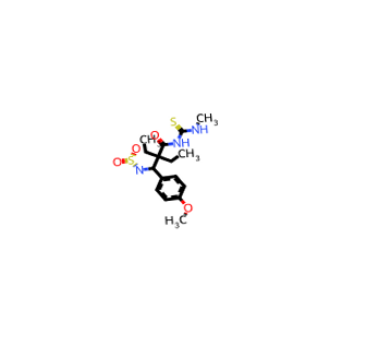 CCC(CC)(C(=O)NC(=S)NC)C(N=S(=O)=O)c1ccc(OC)cc1